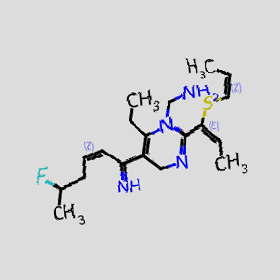 C/C=C\S/C(=C/C)C1=NCC(C(=N)/C=C\CC(C)F)=C(CC)N1CN